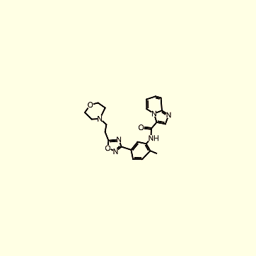 Cc1ccc(-c2noc(CCN3CCOCC3)n2)cc1NC(=O)c1cnc2ccccn12